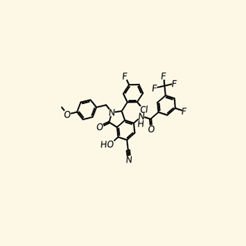 COc1ccc(CN2C(=O)c3c(O)c(C#N)cc(NC(=O)c4cc(F)cc(C(F)(F)F)c4)c3C2c2cc(F)ccc2Cl)cc1